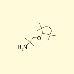 CC(C)(N)COC1C(C)(C)CCC1(C)C